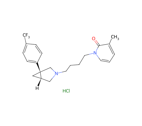 Cc1cccn(CCCCN2C[C@@H]3C[C@]3(c3ccc(C(F)(F)F)cc3)C2)c1=O.Cl